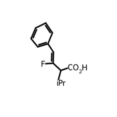 CC(C)C(C(=O)O)C(F)=Cc1ccccc1